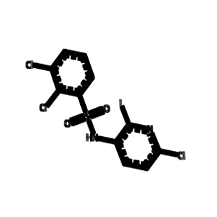 O=S(=O)(Nc1ccc(Cl)nc1I)c1cccc(Cl)c1Cl